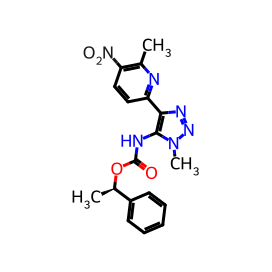 Cc1nc(-c2nnn(C)c2NC(=O)O[C@H](C)c2ccccc2)ccc1[N+](=O)[O-]